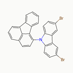 Brc1ccc2c(c1)c1cc(Br)ccc1n2-c1ccc2cccc3c2c1-c1ccccc1-3